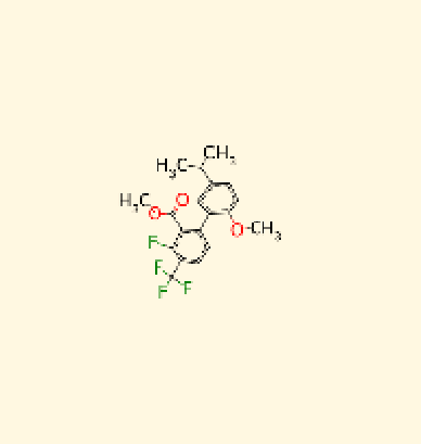 COC(=O)c1c(-c2cc(C(C)C)ccc2OC)ccc(C(F)(F)F)c1F